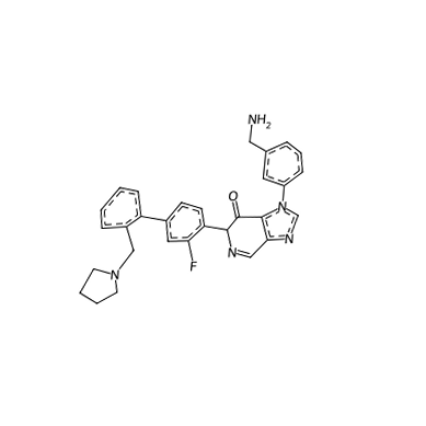 NCc1cccc(-n2cnc3c2C(=O)C(c2ccc(-c4ccccc4CN4CCCC4)cc2F)N=C3)c1